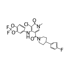 Cn1cc(C(=O)N2CCC(c3ccc(F)cc3)CC2)c(Nc2ccc3c(c2)OC(F)(F)O3)c(Cl)c1=O